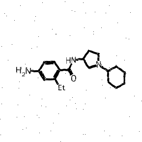 CCc1cc(N)ccc1C(=O)NC1CCN(C2CCCCC2)C1